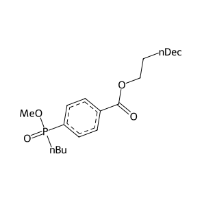 CCCCCCCCCCCCOC(=O)c1ccc(P(=O)(CCCC)OC)cc1